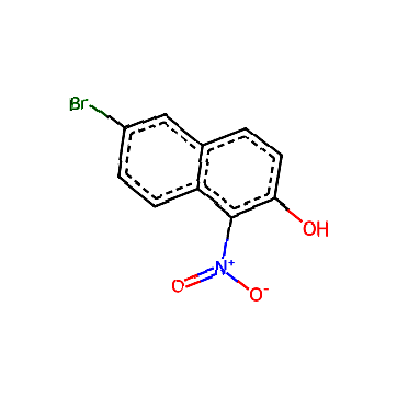 O=[N+]([O-])c1c(O)ccc2cc(Br)ccc12